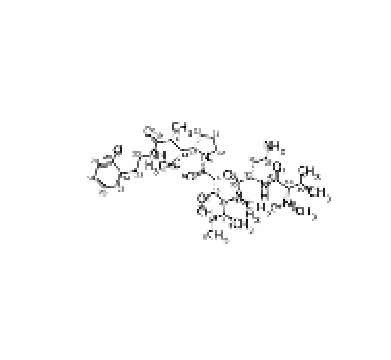 CC[C@H](C)[C@@H]([C@@H](CC(=O)N1CCC[C@H]1[C@H](OC)[C@@H](C)C(=O)NCCc1ccccc1Cl)OC)N(C)C(=O)[C@H](CCN)NC(=O)C(C(C)C)N(C)C